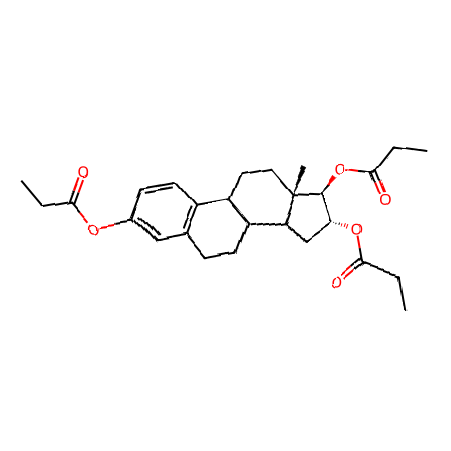 CCC(=O)Oc1ccc2c(c1)CCC1C2CC[C@@]2(C)C1C[C@@H](OC(=O)CC)[C@@H]2OC(=O)CC